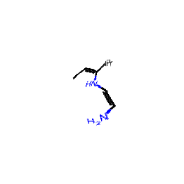 C/C=C(\N/C=C\N)C(C)C